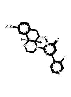 COc1ccc2c(c1)[C@H]1OCCN(c3nc(-c4ccncc4F)cc(=O)n3C)[C@H]1CC2